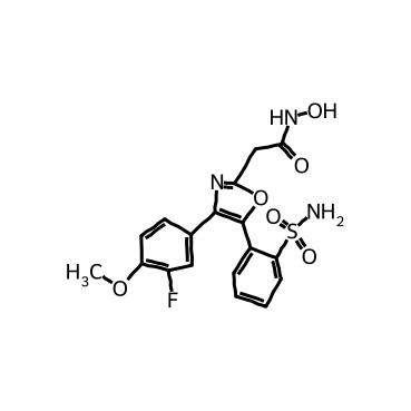 COc1ccc(-c2nc(CC(=O)NO)oc2-c2ccccc2S(N)(=O)=O)cc1F